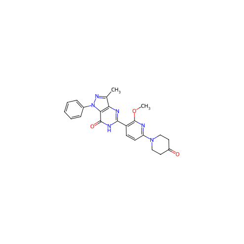 COc1nc(N2CCC(=O)CC2)ccc1-c1nc2c(C)nn(-c3ccccc3)c2c(=O)[nH]1